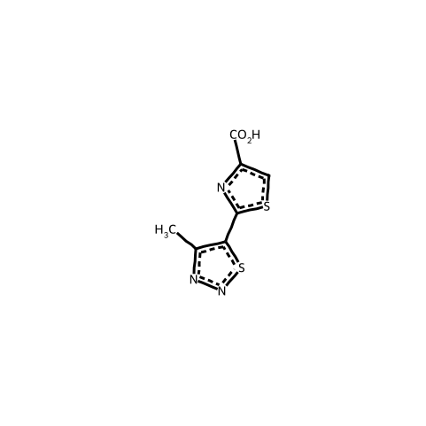 Cc1nnsc1-c1nc(C(=O)O)cs1